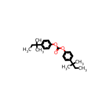 CCC(C)(C)c1ccc(OC(=O)Oc2ccc(C(C)(C)CC)cc2)cc1